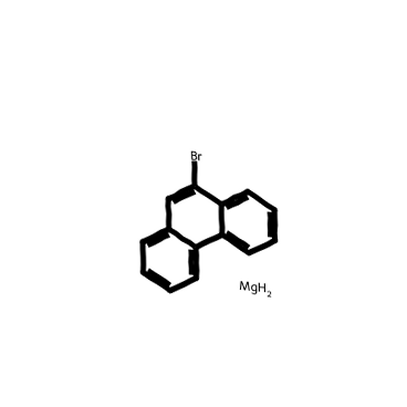 Brc1cc2ccccc2c2ccccc12.[MgH2]